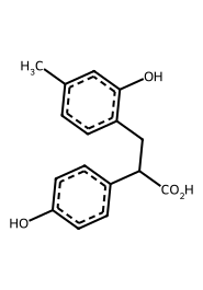 Cc1ccc(CC(C(=O)O)c2ccc(O)cc2)c(O)c1